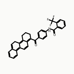 O=C(C1=c2ccc3c(c2CCC1)CC=c1ccccc1=3)c1ccc(NC(=O)c2ccccc2C(F)(F)F)cc1